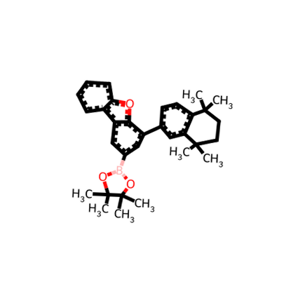 CC1(C)CCC(C)(C)c2cc(-c3cc(B4OC(C)(C)C(C)(C)O4)cc4c3oc3ccccc34)ccc21